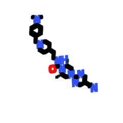 C[C@@H]1CN(c2ncc(C#N)cn2)C[C@H](C)N1C(=O)NCCC1CCN(Cc2ccc(N(C)C)cc2)CC1